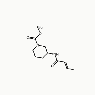 C/C=C/C(=O)N[C@H]1CCCN(C(=O)OC(C)(C)C)C1